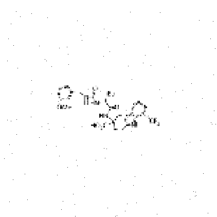 CCC(C)C(NC(=O)NCc1cccc(OC)c1)C(=O)NC1(C(=O)O)CCc2[nH]c3c(C(F)(F)F)cccc3c2C1